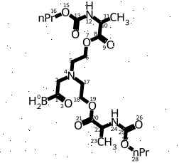 BC(=O)CN(CCOC(=O)C(C)NC(=O)OCCC)CCOC(=O)C(C)NC(=O)OCCC